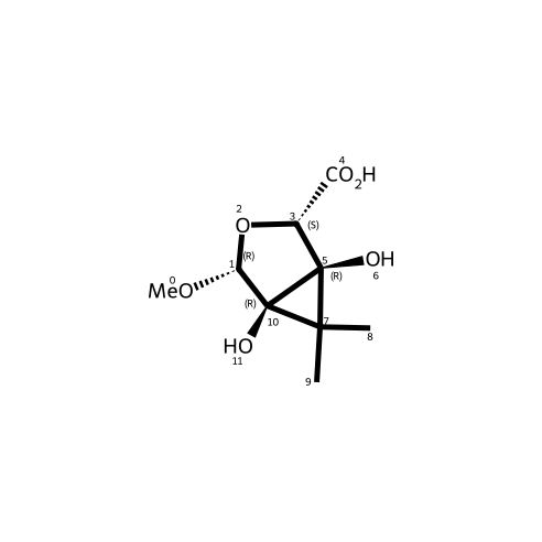 CO[C@@H]1O[C@H](C(=O)O)[C@]2(O)C(C)(C)[C@]12O